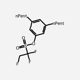 CCCCCc1cc(CCCCC)cc(OS(=O)(=O)C(F)(F)CF)c1